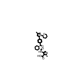 Cc1cc(-c2ccc(C(=O)[C@@H]3CCCC[C@H]3C(=O)Nc3cnn(C)c3C(=O)O)cc2)n(C2CCCCO2)n1